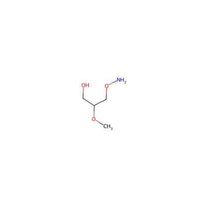 COC(CO)CON